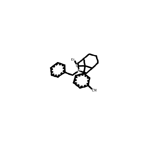 CCOC1(c2cccc(C#N)c2)C2CCCC1CN(Cc1ccccc1)C2